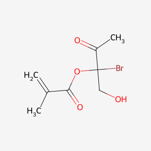 C=C(C)C(=O)OC(Br)(CO)C(C)=O